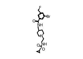 O=C(NCC1CCN(CCNS(=O)(=O)C2CC2)CC1)c1cc(Br)cc(CF)c1